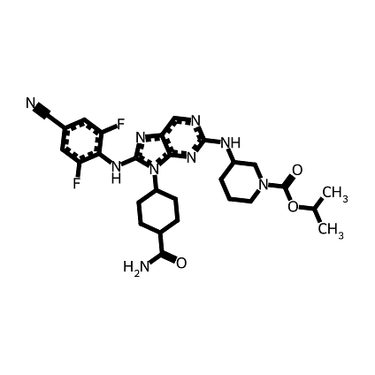 CC(C)OC(=O)N1CCCC(Nc2ncc3nc(Nc4c(F)cc(C#N)cc4F)n(C4CCC(C(N)=O)CC4)c3n2)C1